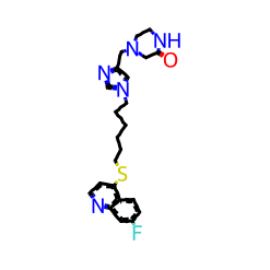 O=C1CN(Cc2cn(CCCCCCSc3ccnc4cc(F)ccc34)cn2)CCN1